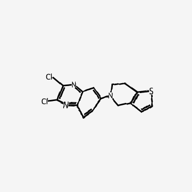 Clc1nc2ccc(N3CCc4sccc4C3)cc2nc1Cl